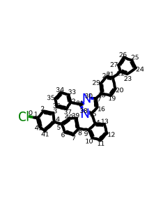 Clc1ccc(-c2ccc(-c3ccccc3-c3cc(-c4ccc(-c5ccccc5)cc4)nc(-c4ccccc4)n3)cc2)cc1